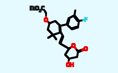 CCOC(=O)COC1CC(c2ccc(F)c(C)c2)=C(C=CC2CC(O)CC(=O)O2)C(C)(C)C1